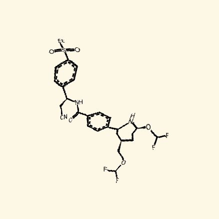 CCS(=O)(=O)c1ccc([C@H](CC#N)NC(=O)c2ccc(C3N[C@@H](OC(F)F)C[C@H]3COC(F)F)cc2)cc1